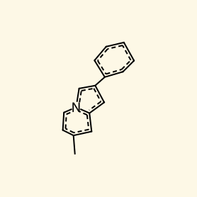 Cc1ccn2cc(-c3ccccc3)cc2c1